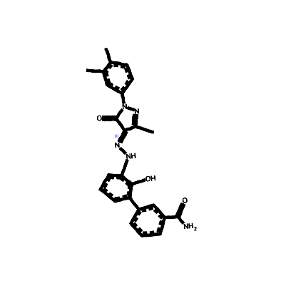 CC1=NN(c2ccc(C)c(C)c2)C(=O)/C1=N/Nc1cccc(-c2cccc(C(N)=O)c2)c1O